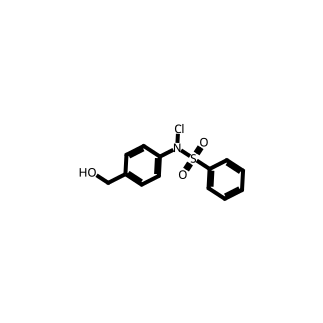 O=S(=O)(c1ccccc1)N(Cl)c1ccc(CO)cc1